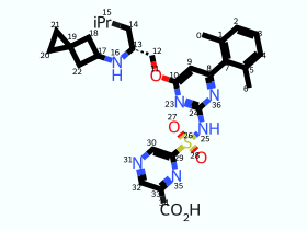 Cc1cccc(C)c1-c1cc(OC[C@@H](CC(C)C)NC2CC3(CC3)C2)nc(NS(=O)(=O)c2cncc(C(=O)O)n2)n1